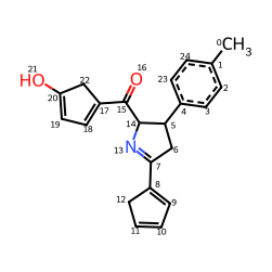 Cc1ccc(C2CC(C3=CC=CC3)=NC2C(=O)C2=CC=C(O)C2)cc1